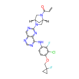 C=CC(=O)N1C[C@@H]2C[C@H]1CN2c1ncc2ncnc(Nc3ccc(OCC4(F)CC4)c(Cl)c3F)c2n1